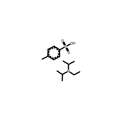 CCN(C(C)C)C(C)C.Cc1ccc(S(=O)(=O)O)cc1